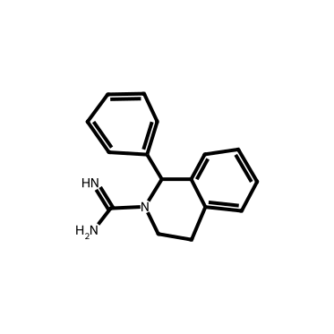 N=C(N)N1CCc2ccccc2C1c1ccccc1